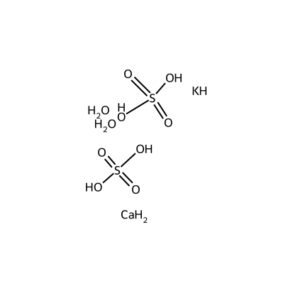 O.O.O=S(=O)(O)O.O=S(=O)(O)O.[CaH2].[KH]